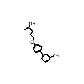 Cc1cccc(-c2ccc(OCCCC(=O)O)cc2)c1